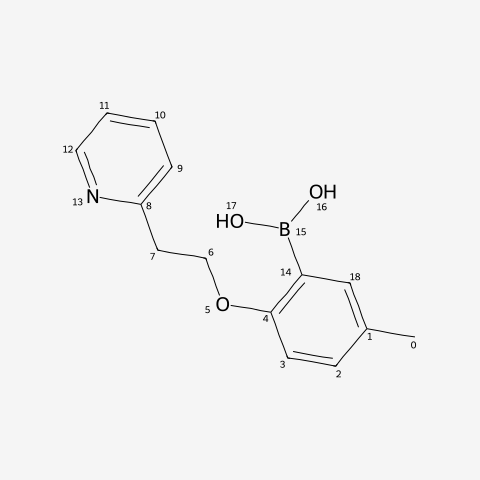 Cc1ccc(OCCc2ccccn2)c(B(O)O)c1